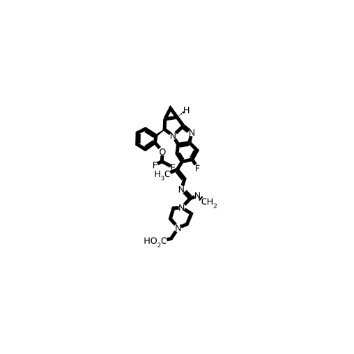 C=N/C(=N\C=C(/C)c1cc2c(cc1F)nc1n2[C@@H](c2ccccc2OC(F)F)C2C[C@@H]12)N1CCN(CC(=O)O)CC1